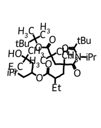 CCC(CC(C)(CC(C)(C)C(=O)OC(C)(C)C(C)(C)C)C(=O)N(C(=O)C(C)(C)C)C(C)C)C(=O)OC(CC(C)C)CC(C)(O)C(F)(F)F